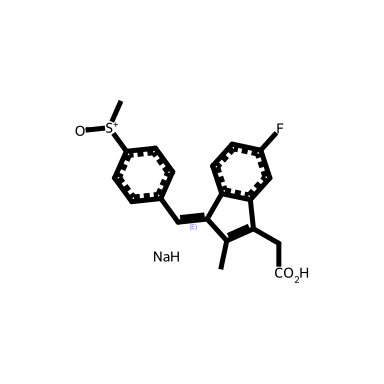 CC1=C(CC(=O)O)c2cc(F)ccc2/C1=C\c1ccc([S+](C)[O-])cc1.[NaH]